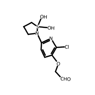 O=CCOc1ccc(N2CCCS2(O)O)nc1Cl